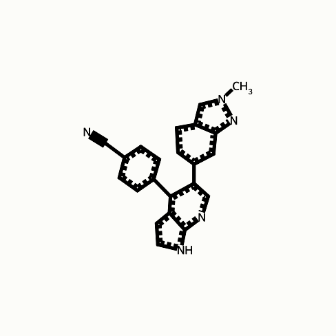 Cn1cc2ccc(-c3cnc4[nH]ccc4c3-c3ccc(C#N)cc3)cc2n1